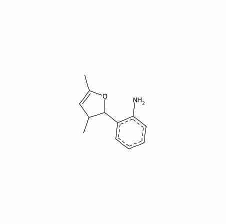 CC1=CC(C)C(c2ccccc2N)O1